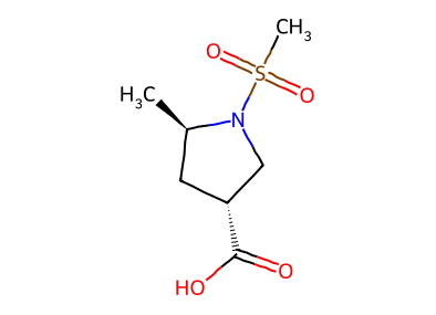 C[C@@H]1C[C@@H](C(=O)O)CN1S(C)(=O)=O